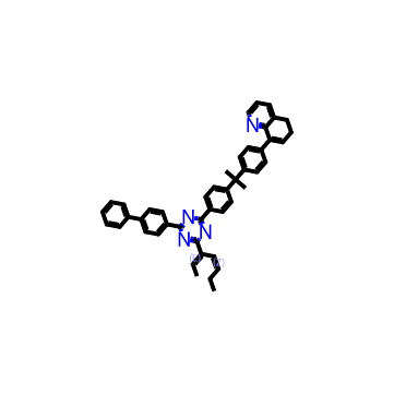 C/C=C(\C=C/CC)c1nc(-c2ccc(-c3ccccc3)cc2)nc(-c2ccc(C(C)(C)c3ccc(C4=CCCc5cccnc54)cc3)cc2)n1